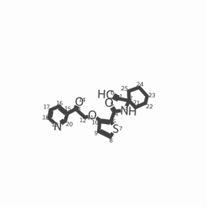 C#CC1(NC(=O)c2sccc2OCC(=O)c2cccnc2)CCCCC1